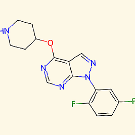 Fc1ccc(F)c(-n2ncc3c(OC4CCNCC4)ncnc32)c1